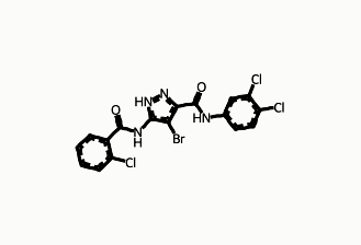 O=C(Nc1[nH]nc(C(=O)Nc2ccc(Cl)c(Cl)c2)c1Br)c1ccccc1Cl